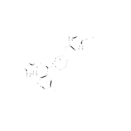 Cc1cnc(-n2nccn2)c(C(=O)N2CCC[C@@H](Oc3cnc(C(F)(F)F)cn3)[C@@H]2C)c1